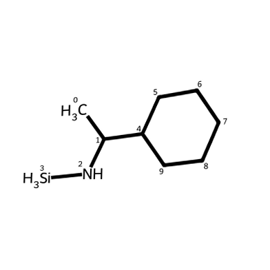 CC(N[SiH3])C1CCCCC1